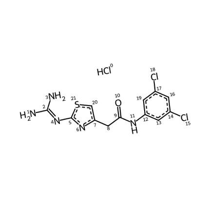 Cl.NC(N)=Nc1nc(CC(=O)Nc2cc(Cl)cc(Cl)c2)cs1